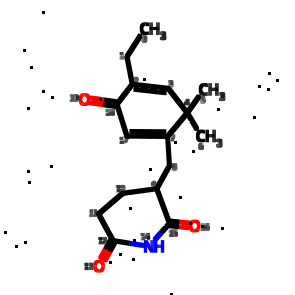 CCC1=CC(C)(C)C(CC2CCC(=O)NC2=O)=CC1=O